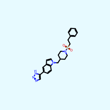 O=S(=O)(CCc1ccccc1)N1CCC(Cn2ccc3cc(-c4cnn[nH]4)ccc32)CC1